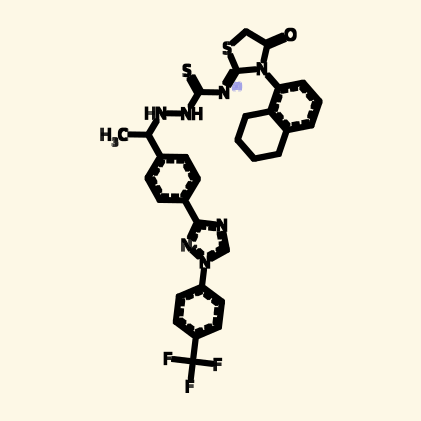 CC(NNC(=S)/N=C1\SCC(=O)N1c1cccc2c1CCCC2)c1ccc(-c2ncn(-c3ccc(C(F)(F)F)cc3)n2)cc1